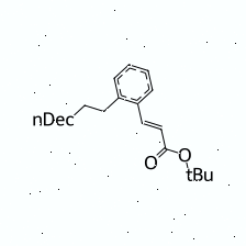 CCCCCCCCCCCCc1ccccc1/C=C/C(=O)OC(C)(C)C